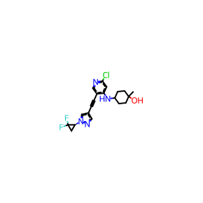 CC1(O)CCC(Nc2cc(Cl)ncc2C#Cc2cnn([C@H]3CC3(F)F)c2)CC1